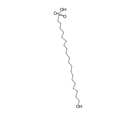 O=S(=O)(O)CCCCCCCCCCCCCCCCCCCCO